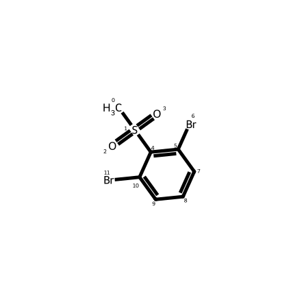 CS(=O)(=O)c1c(Br)cccc1Br